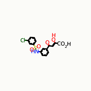 O=C(O)C(O)=CC(=O)c1cccc(NS(=O)(=O)c2cccc(Cl)c2)c1